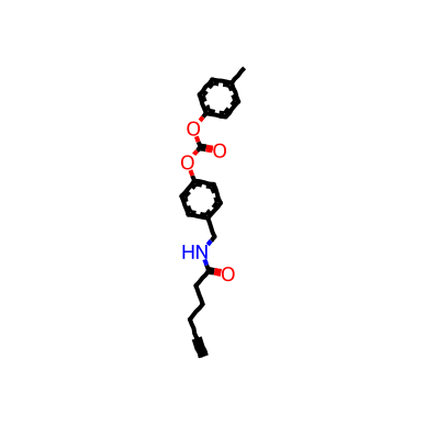 C#CCCCC(=O)NCc1ccc(OC(=O)Oc2ccc(C)cc2)cc1